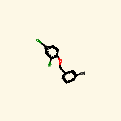 N#Cc1cccc(COc2ccc(Cl)cc2Br)c1